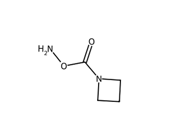 NOC(=O)N1CCC1